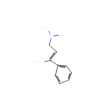 CCCN(C/C=C(\C)c1ccccc1)C(C)=O